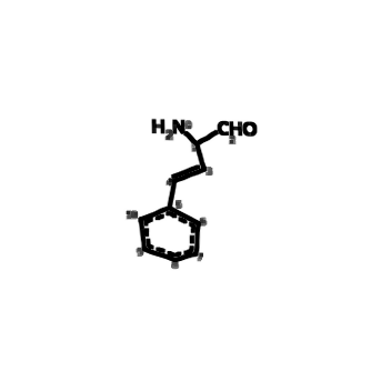 NC(C=O)/C=C/c1ccccc1